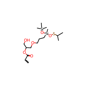 C=CC(=O)OC(CO)COCCC[Si](C)(OSC(C)C)O[Si](C)(C)C